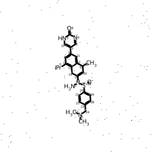 CC(C)c1cc(-c2cnc(=O)[nH]c2)cc2c1CC(N(N)[S+]([O-])c1ccc(CN(C)C)cc1)=CC2C